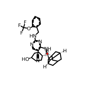 N#Cc1cnc(NCc2ccccc2OC(F)(F)F)nc1NC[C@@]12CC3C[C@H](C1)C(N[C@H]1CC[C@H](O)CC1)[C@@H](C3)C2